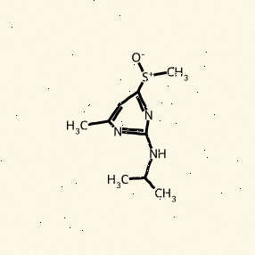 Cc1cc([S+](C)[O-])nc(NC(C)C)n1